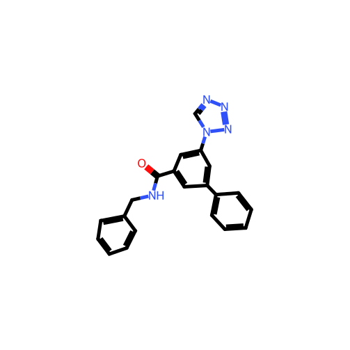 O=C(NCc1ccccc1)c1cc(-c2ccccc2)cc(-n2cnnn2)c1